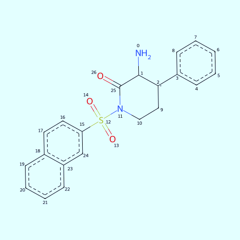 NC1[C](c2ccccc2)CCN(S(=O)(=O)c2ccc3ccccc3c2)C1=O